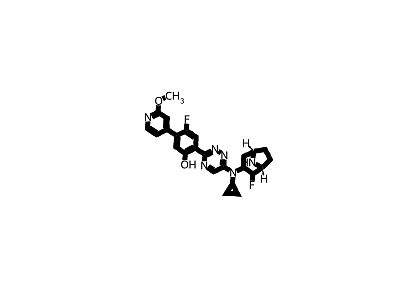 COc1cc(-c2cc(O)c(-c3ncc(N(C4CC4)C4C[C@H]5CC[C@H](N5)C4F)nn3)cc2F)ccn1